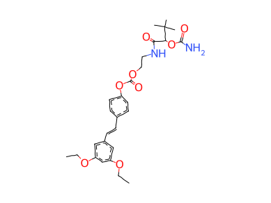 CCOc1cc(C=Cc2ccc(OC(=O)OCCNC(=O)C(OC(N)=O)C(C)(C)C)cc2)cc(OCC)c1